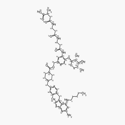 CCCCCNc1nc(N)nc2ccn(Cc3ccc(CN4CCN(C(=O)OCc5ccc(O[C@@H]6OC[C@@H](O)[C@H](O)[C@H]6O)c(NC(=O)CCNC(=O)CCNC(=O)CC(C)C(=O)O)c5)CC4)cc3C)c12